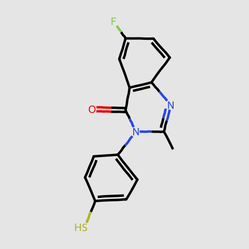 Cc1nc2ccc(F)cc2c(=O)n1-c1ccc(S)cc1